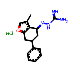 Cc1coc2c1C(=NNC(=N)N)CC(c1ccccc1)C2.Cl